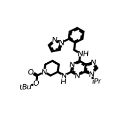 CC(C)n1cnc2c(NCc3ccccc3-n3cccn3)nc(NC3CCCN(C(=O)OC(C)(C)C)C3)nc21